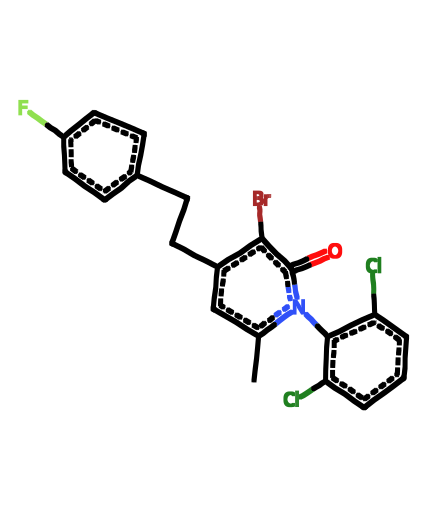 Cc1cc(CCc2ccc(F)cc2)c(Br)c(=O)n1-c1c(Cl)cccc1Cl